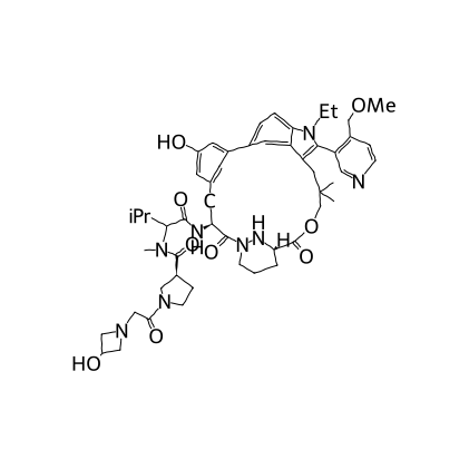 CCn1c(-c2cnccc2COC)c2c3cc(ccc31)-c1cc(O)cc(c1)C[C@H](NC(=O)C(C(C)C)N(C)C(=O)[C@H]1CCN(C(=O)CN3CC(O)C3)C1)C(=O)N1CCC[C@H](N1)C(=O)OCC(C)(C)C2